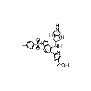 Cc1ccc(S(=O)(=O)n2ccc3c(NC4C[C@H]5CNC[C@H]5C4)c(-c4ncc(C(C)O)s4)cnc32)cc1